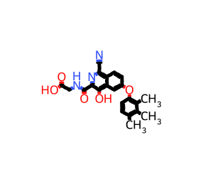 Cc1ccc(Oc2ccc3c(C#N)nc(C(=O)NCC(=O)O)c(O)c3c2)c(C)c1C